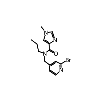 CCCN(Cc1ccnc(Br)c1)C(=O)c1cn(C)cn1